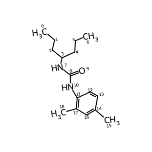 CCCC(CCC)NC(=O)Nc1ccc(C)cc1C